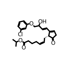 CC(C)OC(=O)CCC/C=C\C[C@H]1C(=O)CC=C1/C=C/C(O)COc1cccc(Cl)c1